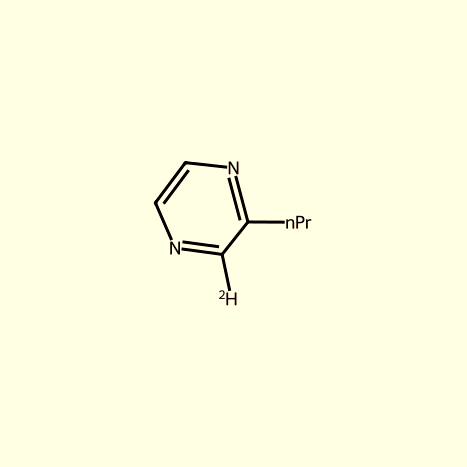 [2H]c1nccnc1CCC